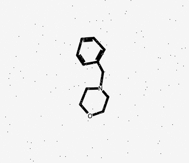 [CH](c1ccccc1)N1CCOCC1